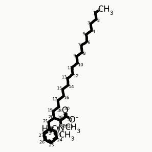 CCCCCCCCCCCCCCCCCCCCC(Cc1ccccc1)C(C(=O)[O-])[N+](C)(C)C